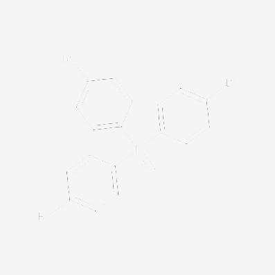 O=P(c1ccc(Br)cc1)(c1ccc(Br)cc1)c1ccc(Br)cc1